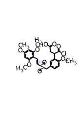 COc1cc(OC)c(/C=C/S(=O)(=O)Cc2ccc(OC)c(C(CC(=O)O)C(=O)Cl)c2)c(OC)c1